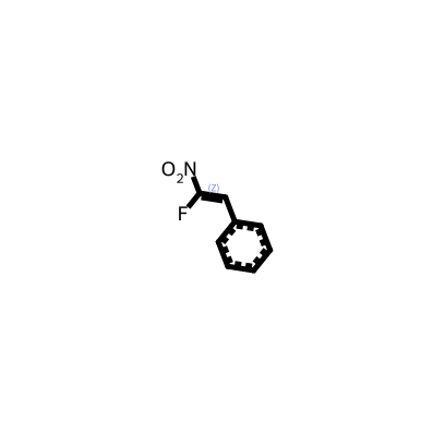 O=[N+]([O-])/C(F)=C/c1ccccc1